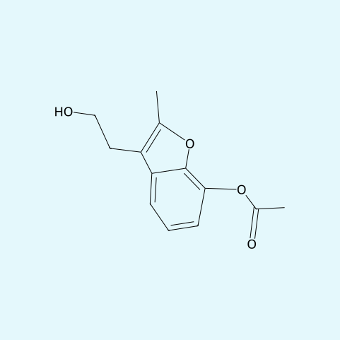 CC(=O)Oc1cccc2c(CCO)c(C)oc12